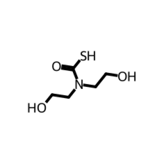 O=C(S)N(CCO)CCO